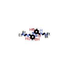 CCN(CC)CC/N=C/c1c(O)cc(O)c2nc3c(C(=O)NCCN(CC)CC)ccc(O)c3nc12